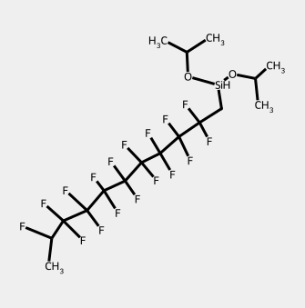 CC(C)O[SiH](CC(F)(F)C(F)(F)C(F)(F)C(F)(F)C(F)(F)C(F)(F)C(F)(F)C(F)(F)C(C)F)OC(C)C